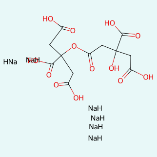 O=C(O)CC(O)(CC(=O)OC(CC(=O)O)(CC(=O)O)C(=O)O)C(=O)O.[NaH].[NaH].[NaH].[NaH].[NaH].[NaH]